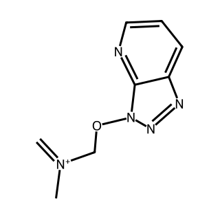 C=[N+](C)COn1nnc2cccnc21